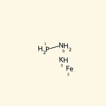 NP.[Fe].[KH]